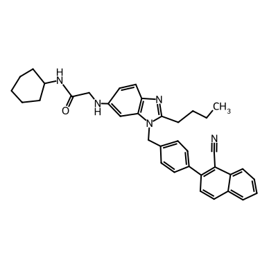 CCCCc1nc2ccc(NCC(=O)NC3CCCCC3)cc2n1Cc1ccc(-c2ccc3ccccc3c2C#N)cc1